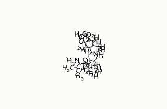 [2H]c1c(OC)c(OC)c([2H])c2c1C1([2H])CC([2H])(OC(=O)[C@@H](N)C(C)C)C(C([2H])([2H])C([2H])(C)C([2H])([2H])[2H])CN1C([2H])([2H])C2([2H])[2H]